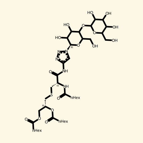 CCCCCCC(=O)N[C@H](CSC[C@@H](COC(=O)CCCCCC)OC(=O)CCCCCC)C(=O)Nc1cn([C@@H]2OC(CO)C(OC3OC(CO)C(O)C(O)C3O)C(O)C2O)nn1